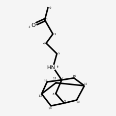 CC(=O)CCCNC12CC3CC(CC(C3)C1)C2